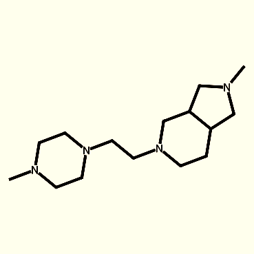 CN1CCN(CCN2CCC3CN(C)CC3C2)CC1